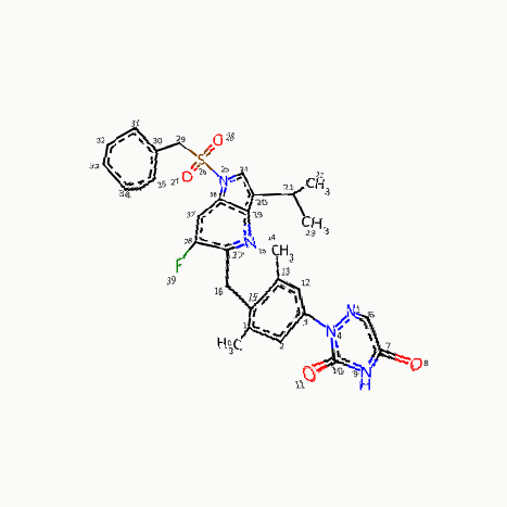 Cc1cc(-n2ncc(=O)[nH]c2=O)cc(C)c1Cc1nc2c(C(C)C)cn(S(=O)(=O)Cc3ccccc3)c2cc1F